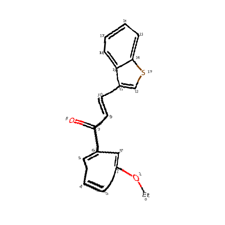 CCOc1cccc(C(=O)/C=C/c2csc3ccccc23)c1